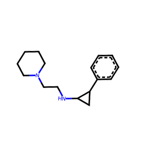 c1ccc(C2CC2NCCN2CCCCC2)cc1